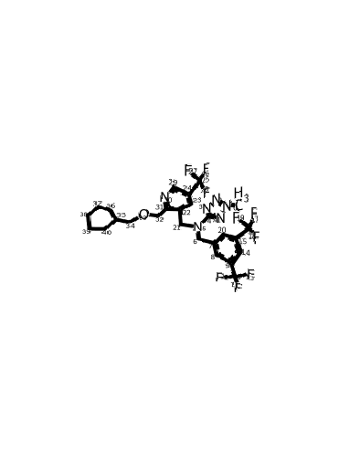 Cn1nnc(N(Cc2cc(C(F)(F)F)cc(C(F)(F)F)c2)Cc2cc(C(F)(F)F)cnc2COCC2CCCCC2)n1